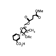 COC(=O)CCC(=O)OC[C@H]1O[C@@H](N2C=CCC(C(=O)O)=C2)[C@H](OC(C)=O)[C@@H]1C